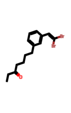 CCC(=O)CCCCc1cccc(C=C(Br)Br)c1